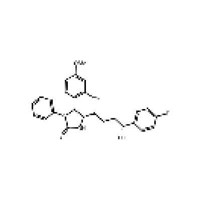 COc1ccc([C@@H]2[C@@H](CCC[C@@H](O)c3ccc(F)cc3)NC(=S)N2c2ccccc2)c(O)c1